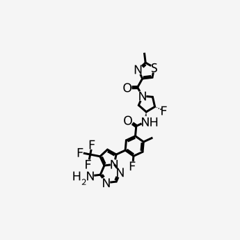 Cc1nc(C(=O)N2C[C@H](F)[C@H](NC(=O)c3cc(-c4cc(C(F)(F)F)c5c(N)ncnn45)c(F)cc3C)C2)cs1